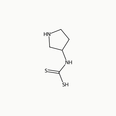 S=C(S)NC1CCNC1